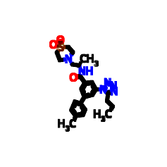 CCCc1nnnn1-c1cc(C(=O)N[C@H](C)CN2CCS(=O)(=O)CC2)cc(-c2ccc(C)cc2)c1